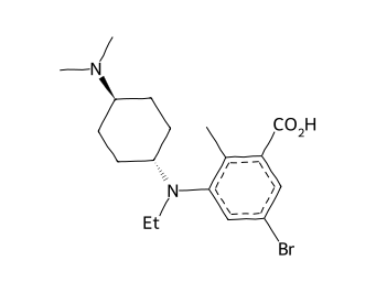 CCN(c1cc(Br)cc(C(=O)O)c1C)[C@H]1CC[C@H](N(C)C)CC1